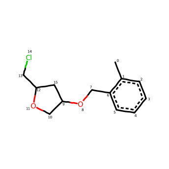 Cc1ccccc1COC1COC(CCl)C1